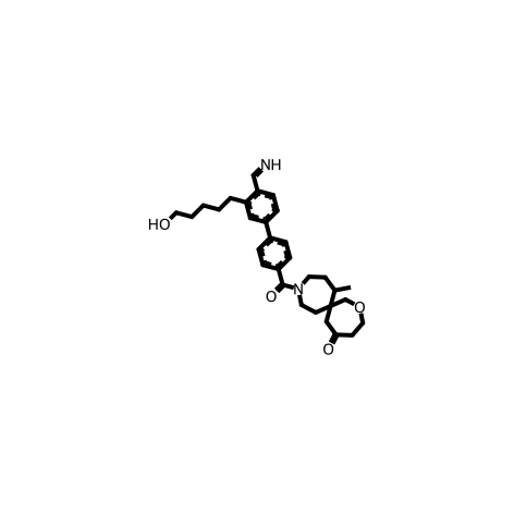 CC1CCN(C(=O)c2ccc(-c3ccc(C=N)c(CCCCCO)c3)cc2)CCC12COCCC(=O)C2